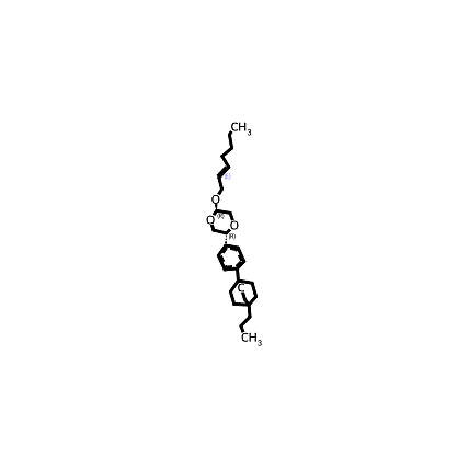 CCCC/C=C/CO[C@H]1CO[C@H](c2ccc(C34CCC(CCC)(CC3)CC4)cc2)CO1